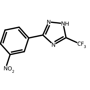 O=[N+]([O-])c1cccc(-c2n[nH]c(C(F)(F)F)n2)c1